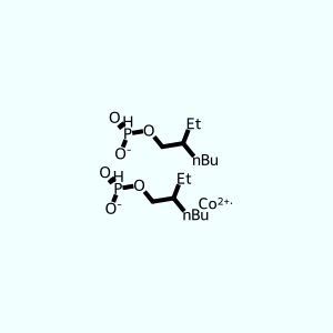 CCCCC(CC)CO[PH](=O)[O-].CCCCC(CC)CO[PH](=O)[O-].[Co+2]